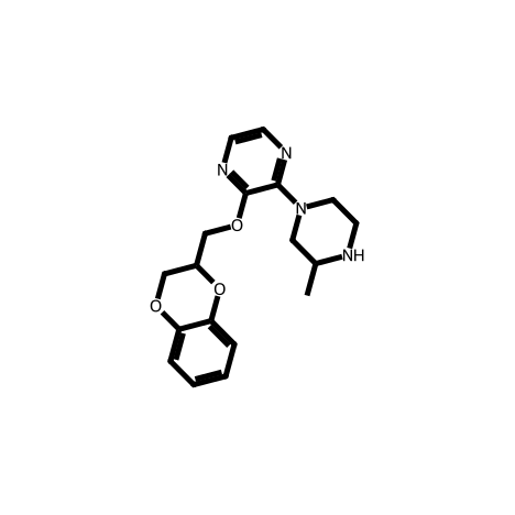 CC1CN(c2nccnc2OCC2COc3ccccc3O2)CCN1